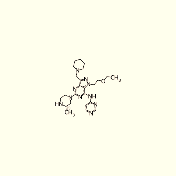 CCOCCn1nc(CN2CCCCC2)c2nc(N3CCN[C@@H](C)C3)nc(Nc3ccncn3)c21